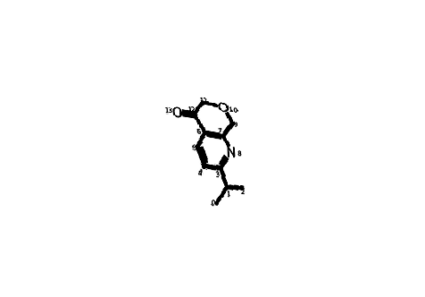 CC(C)c1ccc2c(n1)COCC2=O